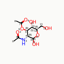 CC(=O)N[C@@H]1[C@@H](OC(C)=O)[C@H](O)[C@@H](CO)O[C@H]1O